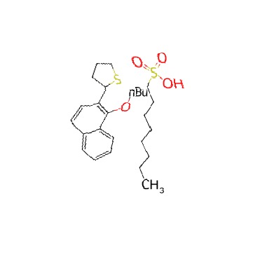 CCCCCCCCS(=O)(=O)O.CCCCOc1c(C2CCCS2)ccc2ccccc12